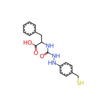 O=C(NNc1ccc(CS)cc1)NC(Cc1ccccc1)C(=O)O